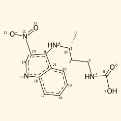 C[C@H](CCNC(=O)O)Nc1c([N+](=O)[O-])cnc2ccccc12